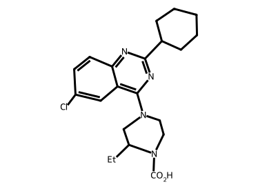 CCC1CN(c2nc(C3CCCCC3)nc3ccc(Cl)cc23)CCN1C(=O)O